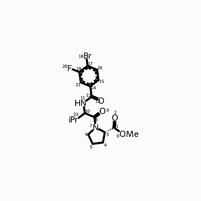 COC(=O)[C@@H]1CCCN1C(=O)C(NC(=O)c1ccc(Br)c(F)c1)C(C)C